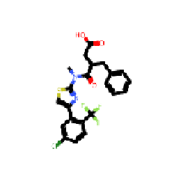 CN(C(=O)C(CC(=O)O)Cc1ccccc1)c1nc(-c2cc(Cl)ccc2C(F)(F)F)cs1